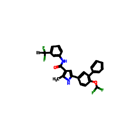 CCC(F)(F)c1cccc(NC(=O)c2cc(-c3ccc(OC(F)F)c(-c4ccccc4)c3)[nH]c2C)c1